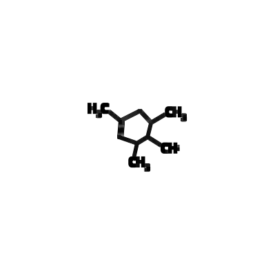 [CH]C1C(C)C=C(C)CC1C